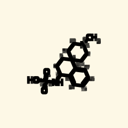 CN1CCC2(CCC(NS(=O)(=O)O)c3ccccc32)CC1